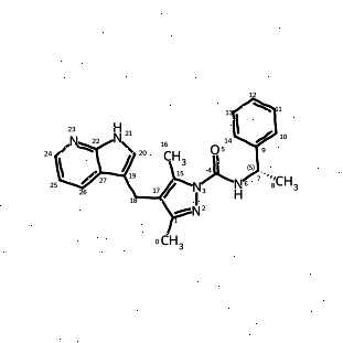 Cc1nn(C(=O)N[C@@H](C)c2ccccc2)c(C)c1Cc1c[nH]c2ncccc12